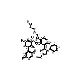 CCn1cc(-c2ccncc2)c(-c2c(F)ccc(N(COCCOC)S(=O)(=O)c3cc(F)cc(-c4cc(F)ccc4F)c3F)c2F)n1